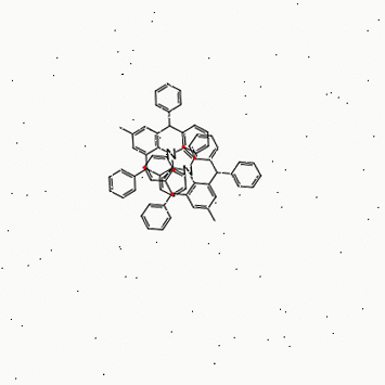 Cc1cc(C(c2ccccc2)c2ccccc2)c(N2C=CN(c3c(C(c4ccccc4)c4ccccc4)cc(C)cc3C(c3ccccc3)c3ccccc3)C2C)c(C(c2ccccc2)c2ccccc2)c1